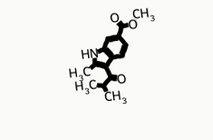 COC(=O)c1ccc2c(C(=O)C(C)C)c(C)[nH]c2c1